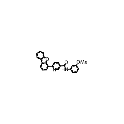 COc1cccc(NC(=O)c2ccc(-c3cccc4c3oc3ccccc34)nc2)c1